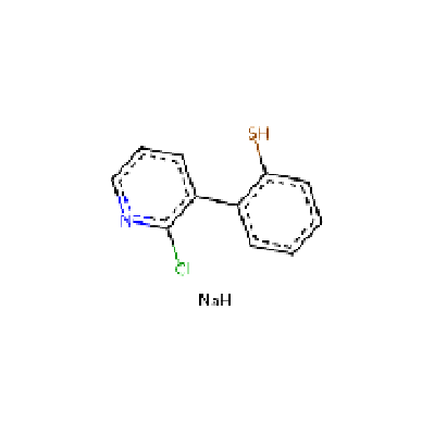 Sc1ccccc1-c1cccnc1Cl.[NaH]